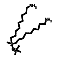 C[Si](C)(C)O[Si](C)(CCCCCCCCCN)CCCCCCCCCN